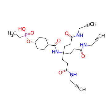 C#CCNC(=O)CCC(CCC(=O)NCC#C)(CCC(=O)NCC#C)NC(=O)[C@H]1CC[C@H](OP(=O)(O)CC)CC1